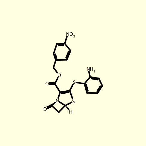 Nc1ccccc1SC1=C(C(=O)OCc2ccc([N+](=O)[O-])cc2)N2C(=O)C[C@H]2S1